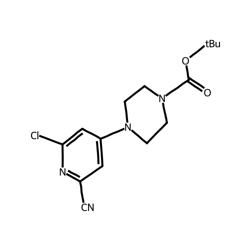 CC(C)(C)OC(=O)N1CCN(c2cc(Cl)nc(C#N)c2)CC1